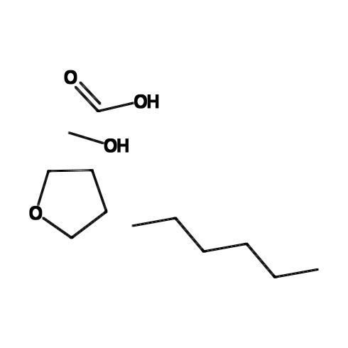 C1CCOC1.CCCCCC.CO.O=CO